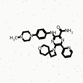 CN1CCN(c2ccc(Nc3nc(N4CCC45CCOCC5)c(-c4ccccn4)nc3C(N)=O)cc2)CC1